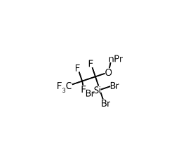 CCCOC(F)(C(F)(F)C(F)(F)F)[Si](Br)(Br)Br